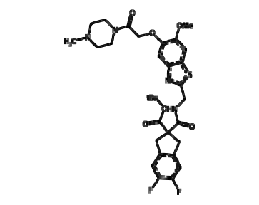 COc1cc2sc(CNC(=O)C3(C(=O)OC(C)(C)C)Cc4cc(F)c(F)cc4C3)nc2cc1OCC(=O)N1CCN(C)CC1